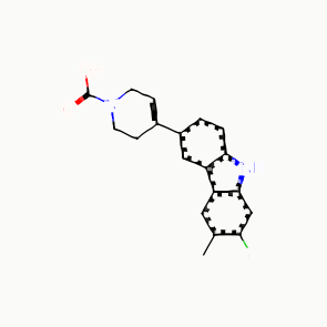 Cc1cc2c(cc1Cl)[nH]c1ccc(C3=CCN(C(=O)O)CC3)cc12